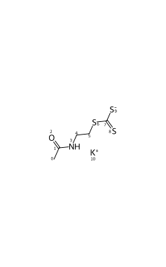 CC(=O)NCCSC(=S)[S-].[K+]